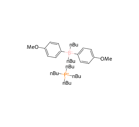 CCCC[B-](CCCC)(c1ccc(OC)cc1)c1ccc(OC)cc1.CCCC[P+](CCCC)(CCCC)CCCC